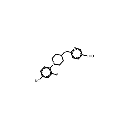 N#Cc1ccc(N2CCC(Sc3ccc(C=O)cn3)CC2)c(F)c1